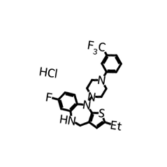 CCc1cc2c(s1)N(N1CCN(c3cccc(C(F)(F)F)c3)CC1)c1ccc(F)cc1NC2.Cl